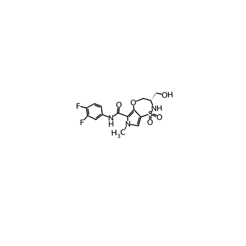 Cn1cc2c(c1C(=O)Nc1ccc(F)c(F)c1)OC[C@H](CO)NS2(=O)=O